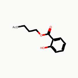 CC(=O)OCCCOC(=O)c1ccccc1O